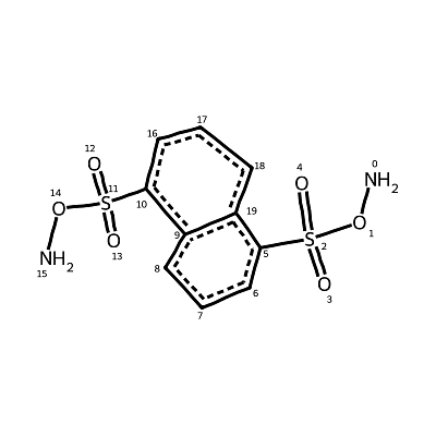 NOS(=O)(=O)c1cccc2c(S(=O)(=O)ON)cccc12